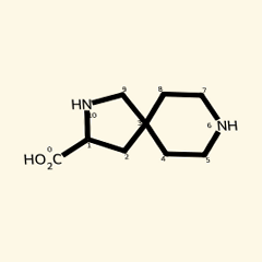 O=C(O)C1CC2(CCNCC2)CN1